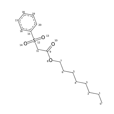 CCCCCCCCOC(=O)CS(=O)(=O)c1ccccc1